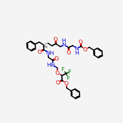 O=C(CC[C@@H](Cc1ccccc1)C(=O)NCC(=O)NCOC(C(=O)OCc1ccccc1)C(F)(F)F)CNC(=O)CNC(=O)OCc1ccccc1